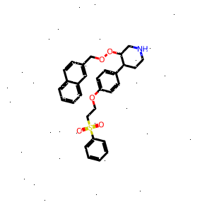 O=S(=O)(CCOc1ccc(C2CCNCC2OOCc2ccc3ccccc3c2)cc1)c1ccccc1